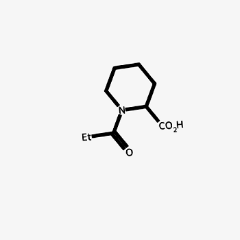 CCC(=O)N1CCCCC1C(=O)O